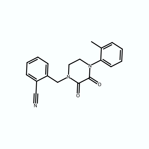 Cc1ccccc1N1CCN(Cc2ccccc2C#N)C(=O)C1=O